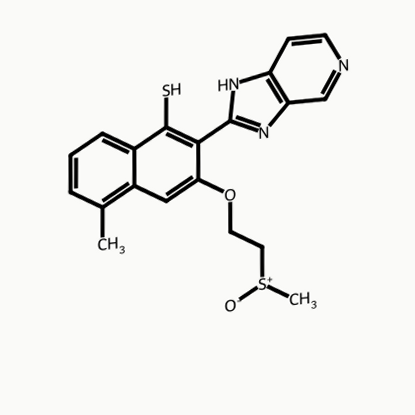 Cc1cccc2c(S)c(-c3nc4cnccc4[nH]3)c(OCC[S+](C)[O-])cc12